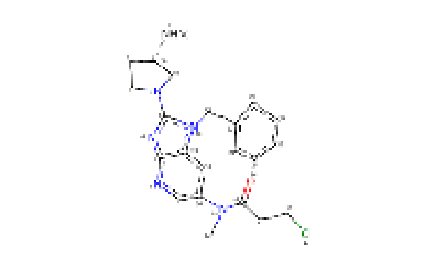 CC(=O)N[C@H]1CCN(c2nc3ncc(N(C)C(=O)CCCl)cc3n2Cc2ccccc2)C1